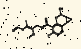 CO/C(COC(=O)c1c(F)ccc2c1OB(O)C1CC21)=C(/C)OC=O